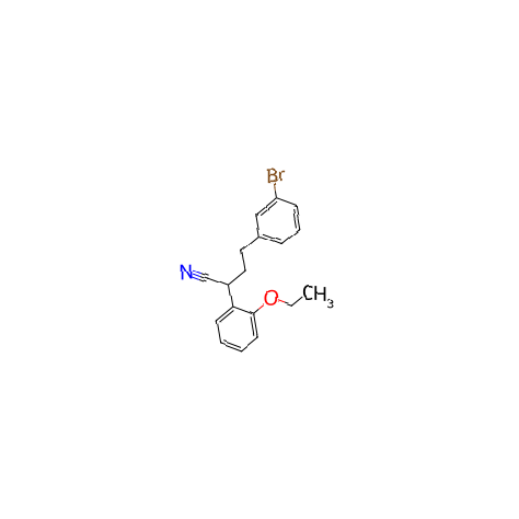 CCOc1ccccc1C(C#N)CCc1cccc(Br)c1